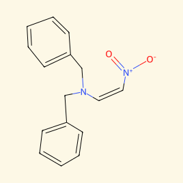 O=[N+]([O-])/C=C\N(Cc1ccccc1)Cc1ccccc1